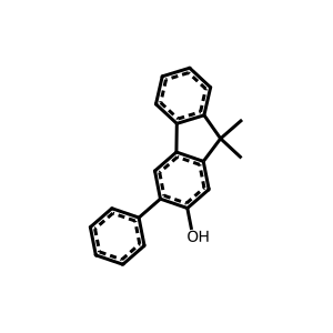 CC1(C)c2ccccc2-c2cc(-c3ccccc3)c(O)cc21